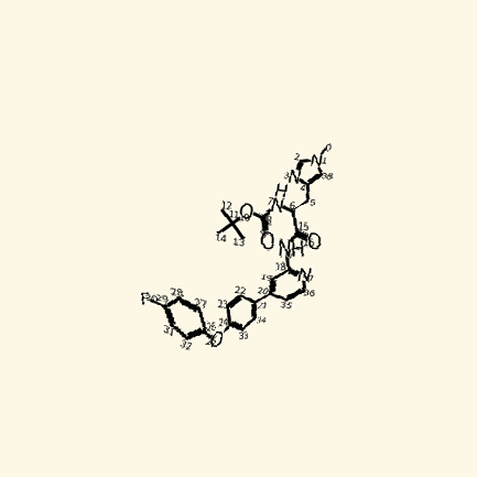 Cn1cnc(C[C@H](NC(=O)OC(C)(C)C)C(=O)Nc2cc(-c3ccc(Oc4ccc(F)cc4)cc3)ccn2)c1